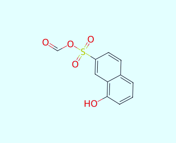 O=COS(=O)(=O)c1ccc2cccc(O)c2c1